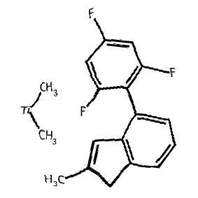 CC1=Cc2c(cccc2-c2c(F)cc(F)cc2F)C1.[CH3][Ti][CH3]